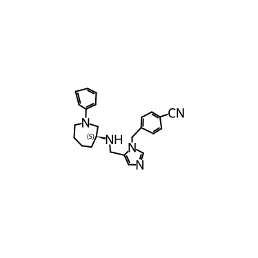 N#Cc1ccc(Cn2cncc2CN[C@H]2CCCCN(c3ccccc3)C2)cc1